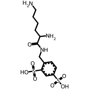 NCCCCC(N)C(=O)NCc1ccc(S(=O)(=O)O)cc1S(=O)(=O)O